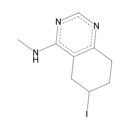 CNc1ncnc2c1CC(I)CC2